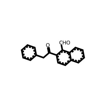 O=Cc1c(C(=O)Cc2ccccc2)ccc2ccccc12